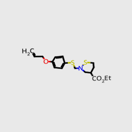 C=CCOc1ccc(SCN2CC(C(=O)OCC)CCS2)cc1